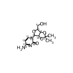 CC1(C)OC2C(CO)OC(n3ccc(N)nc3=O)C2O1